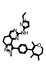 CCn1ccc(Nc2ncc3c(n2)-c2c(nn(C)c2-c2ccc(C4=C(C)OCCC(C)=C4C)cc2)CC3)n1